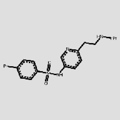 CCCNCCc1ccc(NS(=O)(=O)c2ccc(C(C)C)cc2)cn1